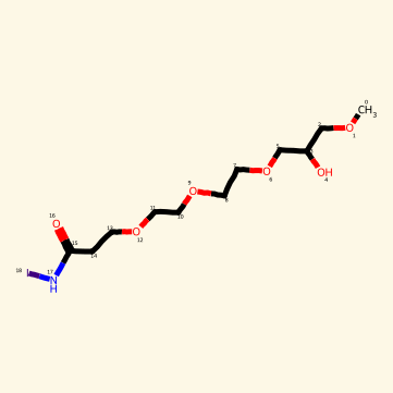 COCC(O)COCCOCCOCCC(=O)NI